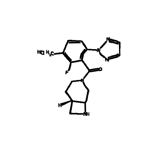 Cc1ccc(-n2nccn2)c(C(=O)N2CC[C@H]3CNC3C2)c1F.Cl